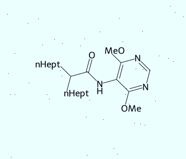 CCCCCCCC(CCCCCCC)C(=O)Nc1c(OC)ncnc1OC